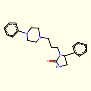 O=C1NCC(c2ccccc2)N1CCCN1CCN(c2ccccc2)CC1